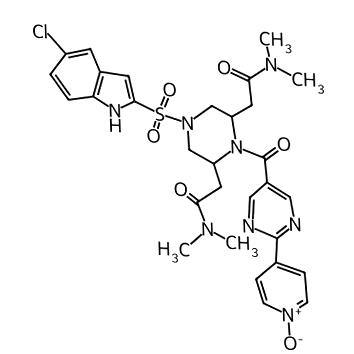 CN(C)C(=O)CC1CN(S(=O)(=O)c2cc3cc(Cl)ccc3[nH]2)CC(CC(=O)N(C)C)N1C(=O)c1cnc(-c2cc[n+]([O-])cc2)nc1